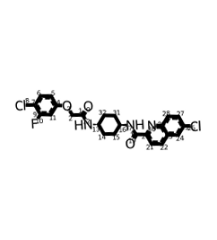 O=C(COc1ccc(Cl)c(F)c1)N[C@H]1CC[C@H](NC(=O)c2ccc3cc(Cl)ccc3n2)CC1